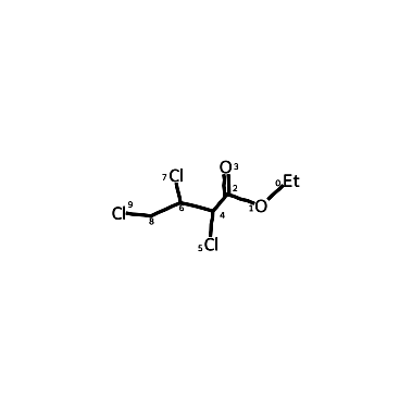 CCOC(=O)C(Cl)C(Cl)CCl